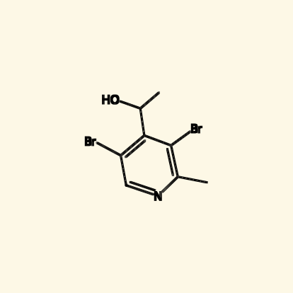 Cc1ncc(Br)c(C(C)O)c1Br